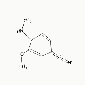 CNC1C=CC(=[N+]=[N-])C=C1OC